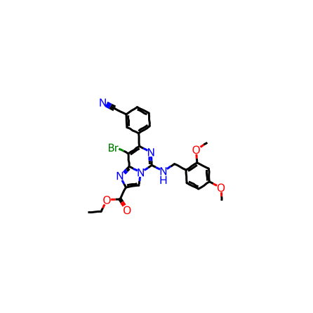 CCOC(=O)c1cn2c(NCc3ccc(OC)cc3OC)nc(-c3cccc(C#N)c3)c(Br)c2n1